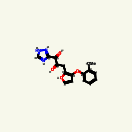 COc1ccccc1Oc1ccoc1CC(=O)C(=O)c1nc[nH]n1